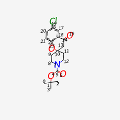 CC(C)(C)OC(=O)N1CCC2(CC1)CC(=O)c1cc(Cl)ccc1O2